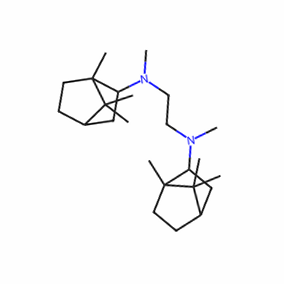 CN(CCN(C)C1CC2CCC1(C)C2(C)C)C1CC2CCC1(C)C2(C)C